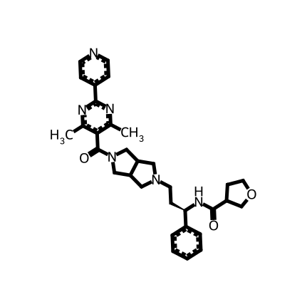 Cc1nc(-c2ccncc2)nc(C)c1C(=O)N1CC2CN(CC[C@@H](NC(=O)C3CCOC3)c3ccccc3)CC2C1